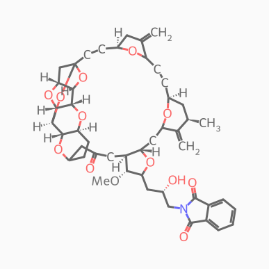 C=C1C[C@@H]2CCC34C[C@H]5O[C@H]6[C@@H](O3)[C@H]3OC(CC[C@@H]3O[C@H]6[C@H]5O4)CC(=O)C[C@H]3[C@H](CC4O[C@@H](CCC1O2)C[C@@H](C)C4=C)OC(C[C@H](O)CN1C(=O)c2ccccc2C1=O)[C@@H]3OC